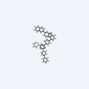 C1=CCC(c2nc(-c3ccc(-c4ccccc4)cc3)nc(-c3ccc(-c4cccc5oc6cc(-c7ccc8ccccc8c7)ccc6c45)cc3)n2)C=C1